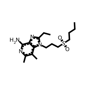 CCCCS(=O)(=O)CCCn1c(CC)nc2c(N)nc(C)c(C)c21